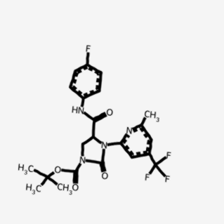 Cc1cc(C(F)(F)F)cc(N2C(=O)N(C(=O)OC(C)(C)C)CC2C(=O)Nc2ccc(F)cc2)n1